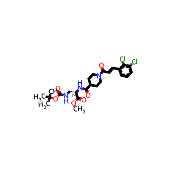 COC(=O)[C@H](CNC(=O)OC(C)(C)C)NC(=O)C1CCN(C(=O)C=Cc2cccc(Cl)c2Cl)CC1